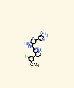 COc1cc(F)cc(-c2ccnc3[nH]c(-c4n[nH]c5cnc(-c6cncc(N)c6)cc45)cc23)c1